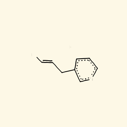 Cl.OC=CCc1cccnc1